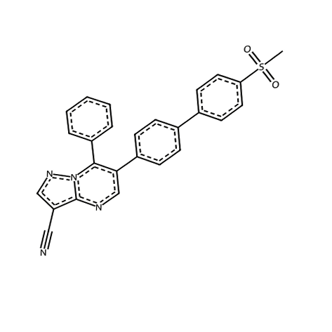 CS(=O)(=O)c1ccc(-c2ccc(-c3cnc4c(C#N)cnn4c3-c3ccccc3)cc2)cc1